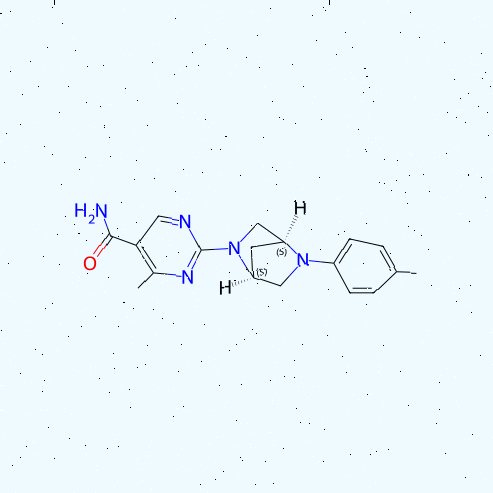 Cc1ccc(N2C[C@@H]3C[C@H]2CN3c2ncc(C(N)=O)c(C)n2)cc1